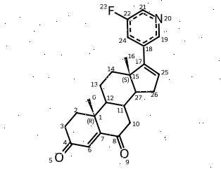 C[C@]12CCC(=O)C=C1C(=O)CC1C2CC[C@]2(C)C(c3cncc(F)c3)=CCC12